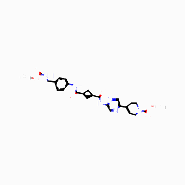 CC(C)(C)OC(=O)NCc1ccc(NC(=O)C23CC(C(=O)Nc4cnc(C5=CCN(C(=O)OC(C)(C)C)CC5)cn4)(C2)C3)cc1